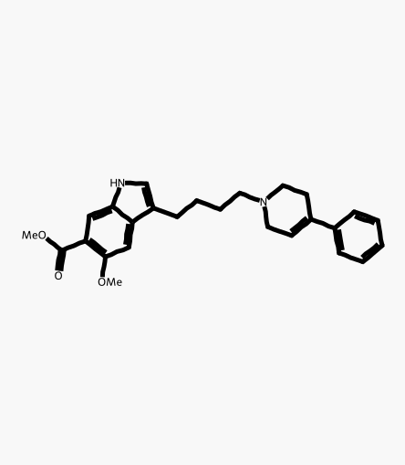 COC(=O)c1cc2[nH]cc(CCCCN3CC=C(c4ccccc4)CC3)c2cc1OC